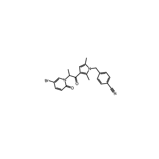 Cc1cc(C(=O)C(C)n2cc(Br)ccc2=O)c(C)n1Cc1ccc(C#N)cc1